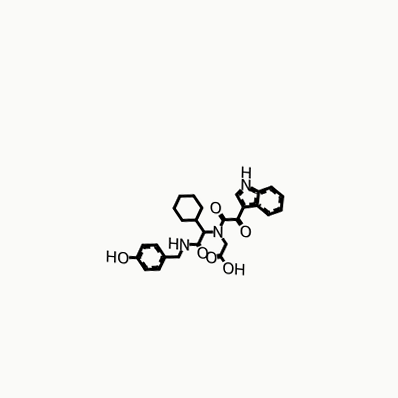 O=C(O)CN(C(=O)C(=O)c1c[nH]c2ccccc12)C(C(=O)NCc1ccc(O)cc1)C1CCCCC1